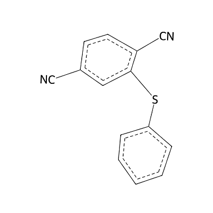 N#Cc1ccc(C#N)c(Sc2ccccc2)c1